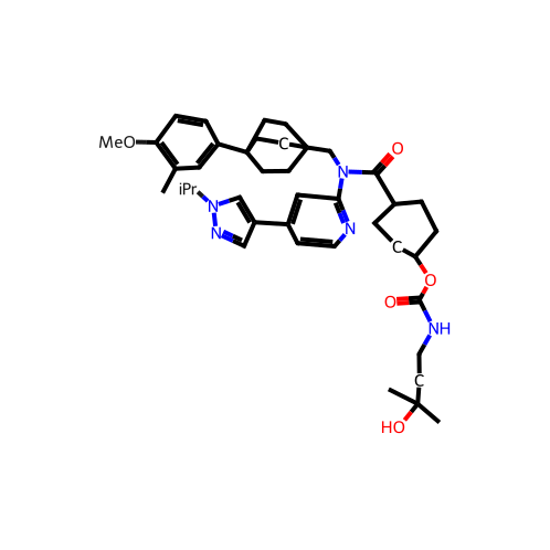 COc1ccc(C23CCC(CN(C(=O)C4CCC(OC(=O)NCCC(C)(C)O)CC4)c4cc(-c5cnn(C(C)C)c5)ccn4)(CC2)CC3)cc1C